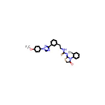 CCc1ccccc1N1C(=O)CS/C1=N\C(=S)NCCc1cccc(-c2ncn(-c3ccc(OC(F)(F)F)cc3)n2)c1